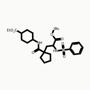 CCOC(=O)C1CCC(NC(=O)C2(CC(NS(=O)(=O)c3ccccc3)C(=O)OC(C)(C)C)CCCC2)CC1